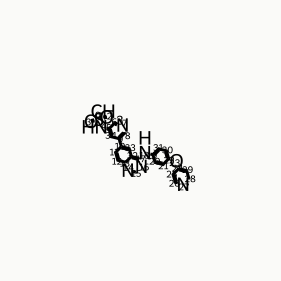 CS(=O)(=O)Nc1cncc(-c2ccc3ncnc(Nc4ccc(Oc5ccncc5)cc4)c3c2)c1